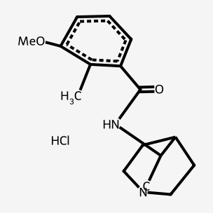 COc1cccc(C(=O)NC2CN3CCC2CC3)c1C.Cl